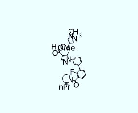 CCC[C@@H]1CCCCN1C(=O)c1cccc(-c2cccc(-n3ncc(C(=O)OC)c3CC(C)c3cnn(C)c3)c2)c1F